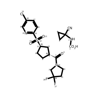 N#CC1(NC(=O)O)CC1.O=C([C@@H]1CC[C@@H](S(=O)(=O)c2ccc(Cl)cn2)C1)N1CCC(F)(F)C1